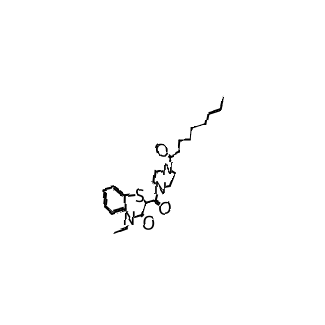 CCCCCCCCC(=O)N1CCN(C(=O)C2Sc3ccccc3N(CC)C2=O)CC1